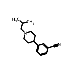 C[C](C)CN1CCC(c2cccc(C#N)c2)CC1